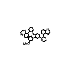 COc1ccc2c(c1)c1cc(-c3ccccc3-c3cccc4nccnc34)ccc1n2-c1ccccc1-c1cccc2nccnc12